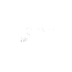 CNCN(NN)c1cnc(OCCC2(N)CC2C2CCN(c3nc(CCOC)no3)CC2)c(C)c1